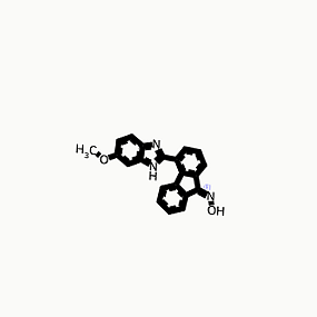 COc1ccc2nc(-c3cccc4c3-c3ccccc3/C4=N\O)[nH]c2c1